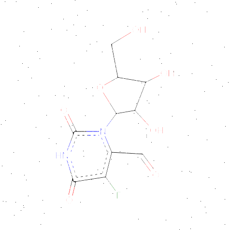 O=Cc1c(F)c(=O)[nH]c(=O)n1C1OC(CO)C(O)C1O